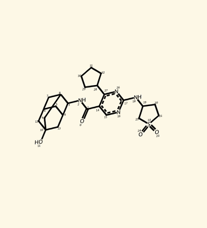 O=C(NC1C2CC3CC1CC(O)(C3)C2)c1cnc(NC2CCS(=O)(=O)C2)nc1C1CCCC1